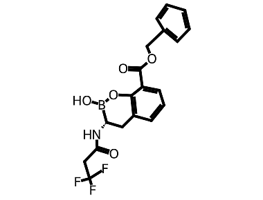 O=C(CC(F)(F)F)N[C@H]1Cc2cccc(C(=O)OCc3ccccc3)c2OB1O